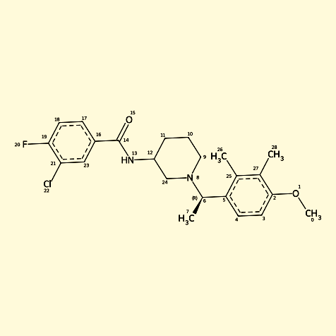 COc1ccc([C@@H](C)N2CCCC(NC(=O)c3ccc(F)c(Cl)c3)C2)c(C)c1C